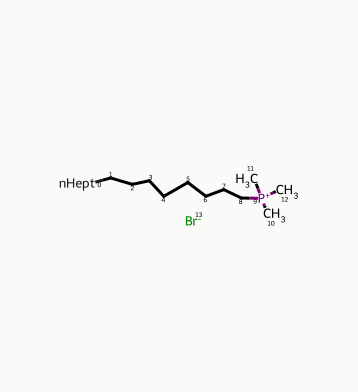 CCCCCCCCCCCCCCC[P+](C)(C)C.[Br-]